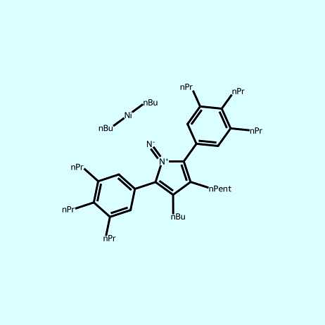 CCCCCC1=C(c2cc(CCC)c(CCC)c(CCC)c2)[N+](=[N-])C(c2cc(CCC)c(CCC)c(CCC)c2)=C1CCCC.CCC[CH2][Ni][CH2]CCC